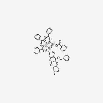 C[C@H]1CC[C@H](Oc2c(OCc3ccccc3)c3ccc(O[C@@H]4O[C@H](COC(=O)c5ccccc5)[C@H](OC(=O)c5ccccc5)[C@H](OC(=O)c5ccccc5)[C@H]4OC(=O)c4ccccc4)cc3oc2=O)CC1